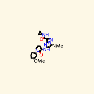 CNc1cc(Nc2cccn([C@H]3CCC[C@@H](OC)C3)c2=O)nc2c(C(=O)NC3CC3)cnn12